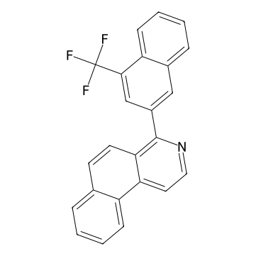 FC(F)(F)c1cc(-c2nccc3c2ccc2ccccc23)cc2ccccc12